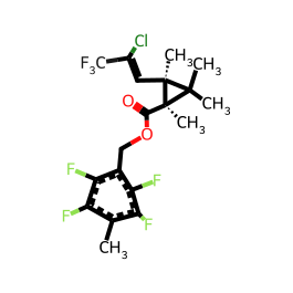 Cc1c(F)c(F)c(COC(=O)[C@]2(C)C(C)(C)[C@]2(C)/C=C(\Cl)C(F)(F)F)c(F)c1F